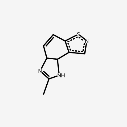 CC1=NC2C=Cc3sncc3C2N1